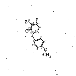 COc1ccc(Cn2ncc(F)c(Br)c2=O)cc1